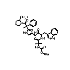 CC(C)(C)OC(=O)NC(C)(C)C(=O)N[C@H](Cc1c[nH]c2ccccc12)C(=O)Nc1c[nH]c(C(C)(C(=O)N2CCCC2C(=O)O)c2ccccc2)n1